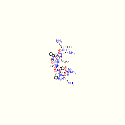 CSCC[C@H](NC(=O)[C@@H](NC(=O)[C@@H](NC(=O)[C@H](Cc1ccc(O)cc1)NC(=O)[C@H](Cc1ccccc1)NC(=O)[C@H](CCCNC(=N)N)NC(=O)[C@H](N)CCCCN)C(C)C)C(C)C)C(=O)N[C@@H](Cc1c[nH]c2ccccc12)C(=O)N[C@@H](CCCCN)C(=O)N[C@H](CCCCCN)C(=O)O